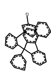 Clc1cccc(-c2ccccc2C2(c3ccccc3)c3ccccc3-c3c2ccc2ccccc32)c1